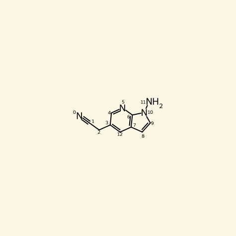 N#CCc1cnc2c(ccn2N)c1